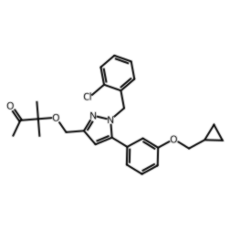 CC(=O)C(C)(C)OCc1cc(-c2cccc(OCC3CC3)c2)n(Cc2ccccc2Cl)n1